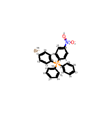 O=[N+]([O-])c1ccc([P+](c2ccccc2)(c2ccccc2)c2ccccc2)cc1.[Br-]